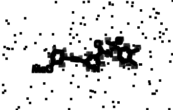 COc1cccc(C#Cc2cncc(C(=O)N=S(C)(=O)c3ccc(C)c(C)c3)c2)c1